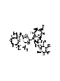 Cc1cnccc1-c1cnc(-c2nc(Cc3c(F)ccc(F)c3F)n3cc(F)ccc23)nc1N